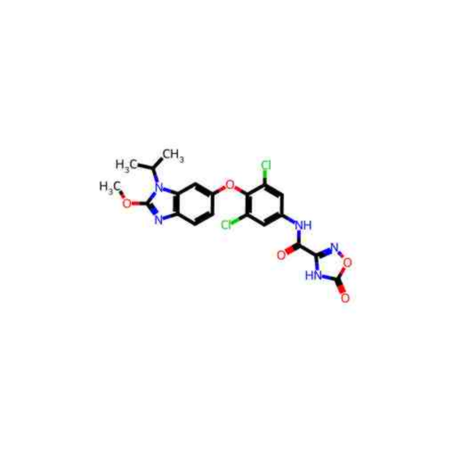 COc1nc2ccc(Oc3c(Cl)cc(NC(=O)c4noc(=O)[nH]4)cc3Cl)cc2n1C(C)C